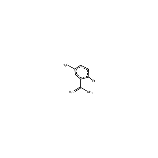 C=C(N)c1cc(C)ccc1CC